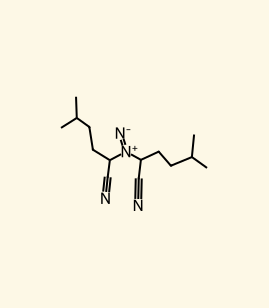 CC(C)CCC(C#N)[N+](=[N-])C(C#N)CCC(C)C